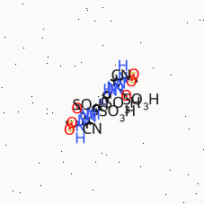 C=CS(=O)(=O)CCNc1nc(NCCOS(=O)(=O)O)c(/N=N/c2ccc(/C=C/c3ccc(/N=N/c4c(NCCOS(=O)(=O)O)nc(NCCS(=O)(=O)C=C)c(C#N)c4C)cc3S(=O)(=O)O)c(S(=O)(=O)O)c2)c(C)c1C#N